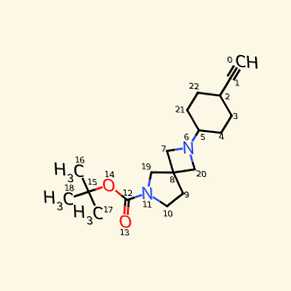 C#CC1CCC(N2CC3(CCN(C(=O)OC(C)(C)C)C3)C2)CC1